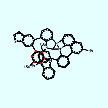 CC(C)(C)c1cc(-c2cccc(-c3cc(C(C)(C)C)cc(C(C)(C)C)c3)c2[N+]23c4ccccc4[N+]24c2cccc5c2[N+]2(c6c(ccc7c8ccccc8n(c67)-c6cc(C(C)(C)C)cc[n+]62)-c2cc6sccc6cc2-5)C43)cc(C(C)(C)C)c1